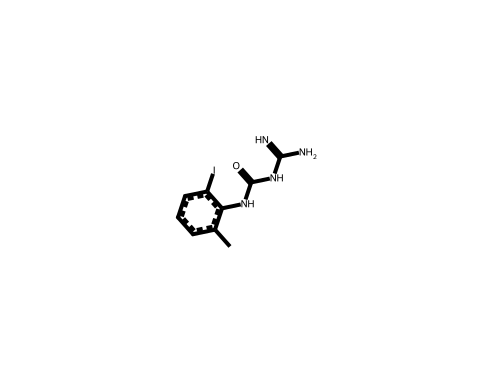 Cc1cccc(I)c1NC(=O)NC(=N)N